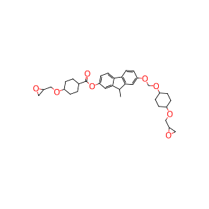 CC1c2cc(OCOC3CCC(OCC4CO4)CC3)ccc2-c2ccc(OC(=O)C3CCC(OCC4CO4)CC3)cc21